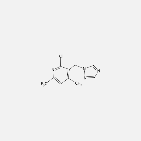 Cc1cc(C(F)(F)F)nc(Cl)c1Cn1cncn1